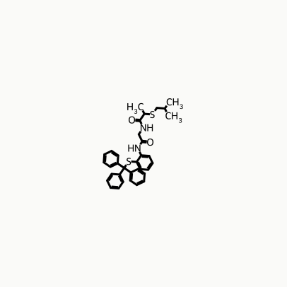 CC(C)CSC(C)C(=O)NCC(=O)Nc1ccccc1SC(c1ccccc1)(c1ccccc1)c1ccccc1